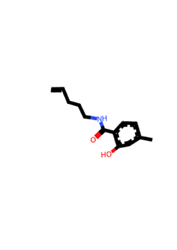 C=CCCCNC(=O)c1ccc(C)cc1O